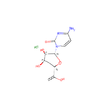 C=C(O)[C@H]1O[C@@H](n2ccc(N)nc2=O)[C@H](O)[C@@H]1O.Cl